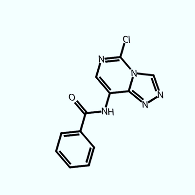 O=C(Nc1cnc(Cl)n2cnnc12)c1ccccc1